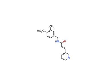 Cc1cc(CNC(=O)C=Cc2cccnc2)ccc1C(=O)O